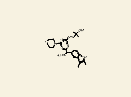 Cc1[nH]c2ccc(C(=NN)c3nc(OCC(C)(C)O)nc(N4CCOCC4)n3)cc2c1C